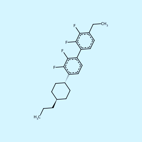 CCC[C@H]1CC[C@H](c2ccc(-c3ccc(CC)c(F)c3F)c(F)c2F)CC1